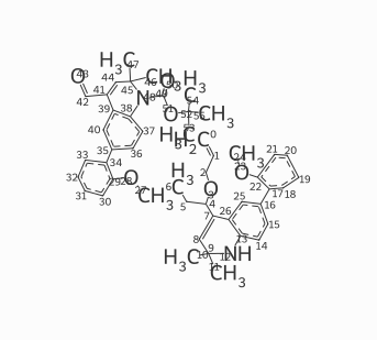 C=CCOC(CC)C1=CC(C)(C)Nc2ccc(-c3ccccc3OC)cc21.COc1ccccc1-c1ccc2c(c1)C(C=O)=CC(C)(C)N2C(=O)OC(C)(C)C